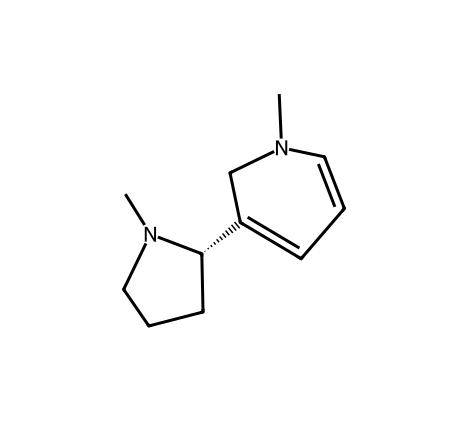 CN1C=CC=C([C@@H]2CCCN2C)C1